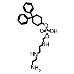 NCCNCCNCOP(=O)(O)OC1CCC(c2ccccc2)(c2ccccc2)CC1